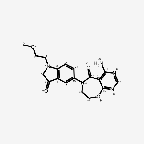 COCCN1CC(=O)c2cc(N3CCOc4ncnc(N)c4C3=O)ccc21